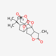 C[C@@H]1C(=O)OC2CC34C5C[C@@H](C(C)(C)C)C36CC(=O)OC6OC4(C(=O)O5)C21